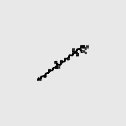 CC(=O)COCCOCCNC(=O)COCCOCCNC(=O)C[C@@H](C)C(=O)O